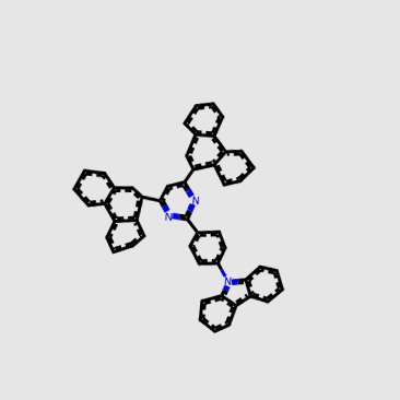 c1ccc2c(c1)cc(-c1cc(-c3cc4ccccc4c4ccccc34)nc(-c3ccc(-n4c5ccccc5c5ccccc54)cc3)n1)c1ccccc12